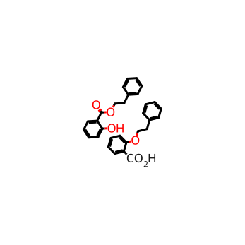 O=C(O)c1ccccc1OCCc1ccccc1.O=C(OCCc1ccccc1)c1ccccc1O